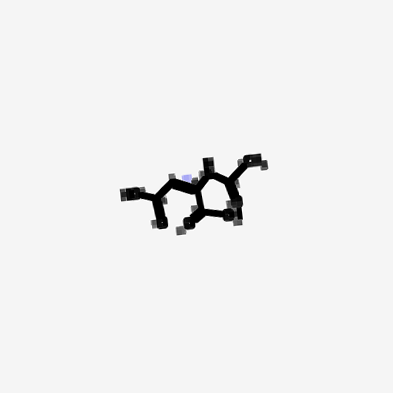 CC(=O)N/C(=C/C(=O)O)C(=O)O